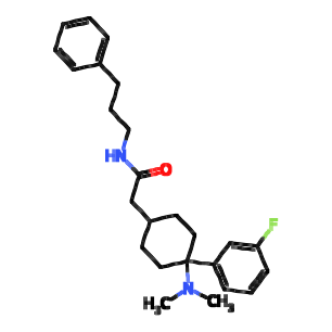 CN(C)C1(c2cccc(F)c2)CCC(CC(=O)NCCCc2ccccc2)CC1